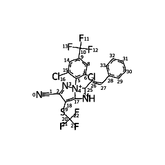 N#CC1=N[N+]2(c3c(Cl)cc(C(F)(F)F)cc3Cl)C(=C1SC(F)(F)F)NC2C=Cc1ccccc1